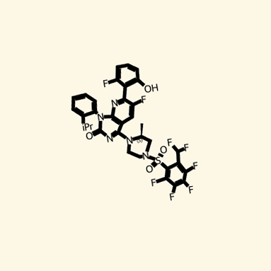 CC(C)c1ccccc1-n1c(=O)nc(N2CCN(S(=O)(=O)c3c(F)c(F)c(F)c(F)c3C(F)F)C[C@@H]2C)c2cc(F)c(-c3c(O)cccc3F)nc21